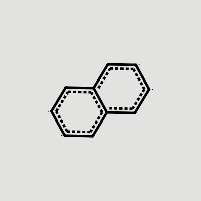 [c]1[c]cc2c[c][c]cc2c1